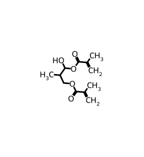 C=C(C)C(=O)OCC(C)C(O)OC(=O)C(=C)C